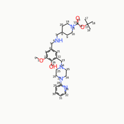 COc1cc(CNCC2CCN(C(=O)OC(C)(C)C)CC2)cc(CN2CCN(c3ccccn3)CC2)c1O